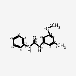 COc1cc(C)cc(NC(=O)Nc2ccccc2)c1